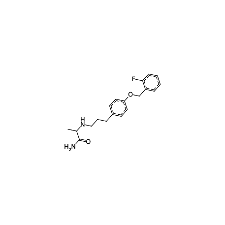 CC(NCCCc1ccc(OCc2ccccc2F)cc1)C(N)=O